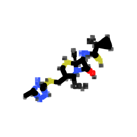 Cc1nnc(SCC2=C(C(=O)O)N3C(=O)C(NC(=S)C4(C#N)C#C4)[C@@H]3SC2)[nH]1